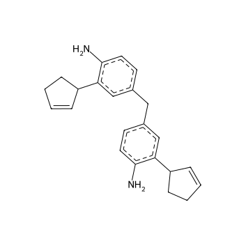 Nc1ccc(Cc2ccc(N)c(C3C=CCC3)c2)cc1C1C=CCC1